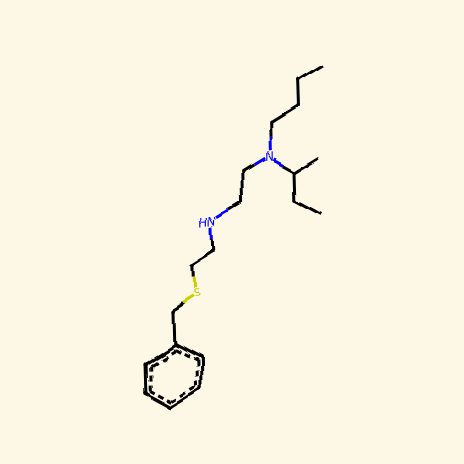 CCCCN(CCNCCSCc1ccccc1)C(C)CC